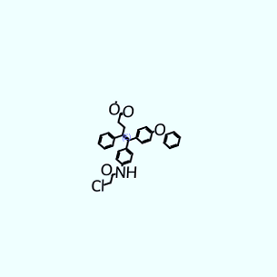 COC(=O)CC/C(=C(/c1ccc(NC(=O)CCl)cc1)c1ccc(Oc2ccccc2)cc1)c1ccccc1